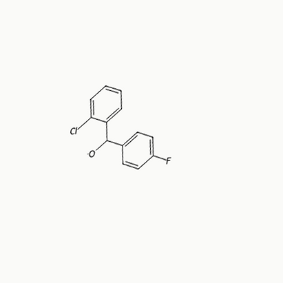 [O]C(c1ccc(F)cc1)c1ccccc1Cl